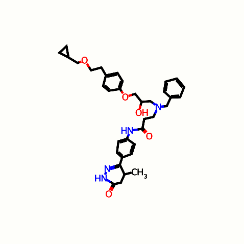 CC1CC(=O)NN=C1c1ccc(NC(=O)CCN(Cc2ccccc2)CC(O)COc2ccc(CCOCC3CC3)cc2)cc1